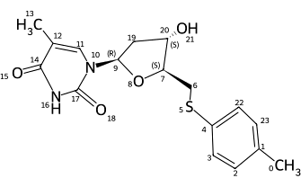 Cc1ccc(SC[C@H]2O[C@@H](n3cc(C)c(=O)[nH]c3=O)C[C@@H]2O)cc1